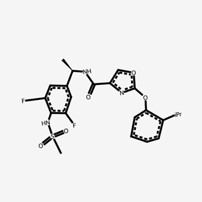 CC(C)c1ccccc1Oc1nc(C(=O)N[C@H](C)c2cc(F)c(NS(C)(=O)=O)c(F)c2)co1